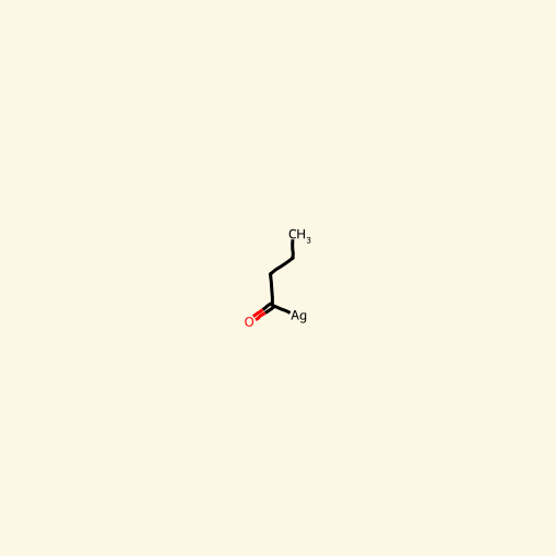 CCC[C](=O)[Ag]